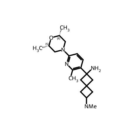 CNC1CC2(C1)CC(N)(c1ccc(N3C[C@@H](C)O[C@@H](C)C3)nc1C)C2